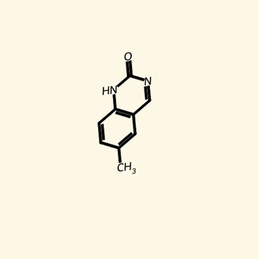 Cc1ccc2[nH]c(=O)ncc2c1